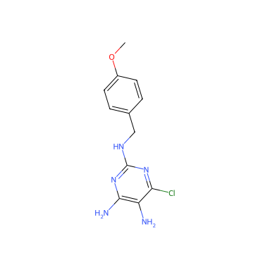 COc1ccc(CNc2nc(N)c(N)c(Cl)n2)cc1